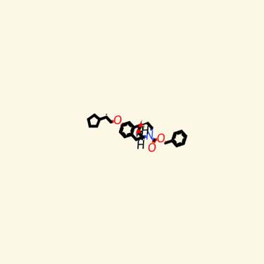 O=C(OCc1ccccc1)N1CC[C@]23CCCC[C@H]2[C@H]1Cc1ccc(OC[CH]C2CCCC2)cc13